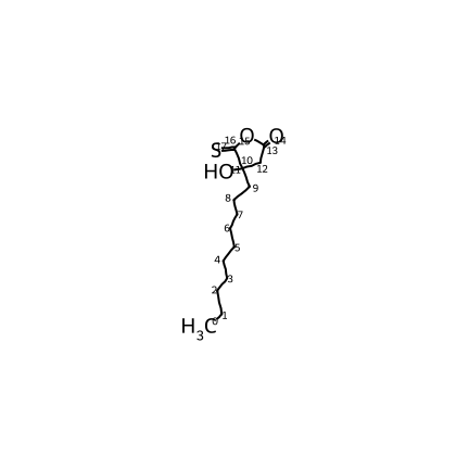 CCCCCCCCCCC1(O)CC(=O)OC1=S